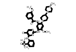 COc1cccc(C(=O)Nc2cc(Nc3ncc(Cl)c(Nc4ccccc4P(C)(C)=O)n3)c(OC)cc2N2CCC(N3CCN(C)CC3)CC2)c1